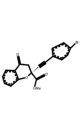 COC(=O)[C@]1(C#Cc2ccc(Br)cc2)CC(=O)c2ccccc2O1